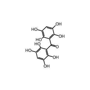 O=C(c1c(O)c(O)cc(O)c1O)c1c(O)c(O)cc(O)c1O